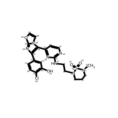 CN1CCCN(CCNc2nccc(-c3c(-c4ccc(Cl)c(O)c4)nc4occn34)n2)S1(=O)=O